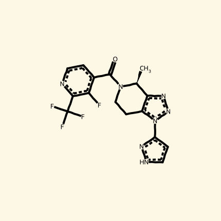 C[C@H]1c2nnn(-c3cc[nH]n3)c2CCN1C(=O)c1ccnc(C(F)(F)F)c1F